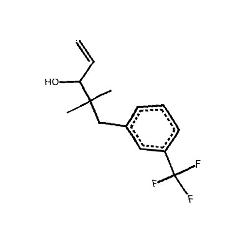 [CH]=CC(O)C(C)(C)Cc1cccc(C(F)(F)F)c1